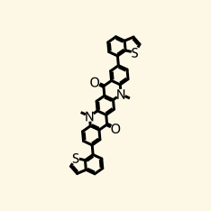 Cn1c2ccc(-c3cccc4ccsc34)cc2c(=O)c2cc3c(cc21)c(=O)c1cc(-c2cccc4ccsc24)ccc1n3C